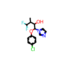 CC(C(F)F)C(O)C(Oc1ccc(Cl)cc1)n1ccnc1